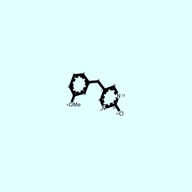 COc1cccc(Cc2cnc(Cl)nc2)c1